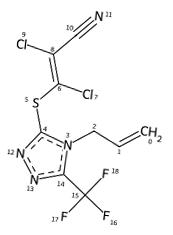 C=CCn1c(SC(Cl)=C(Cl)C#N)nnc1C(F)(F)F